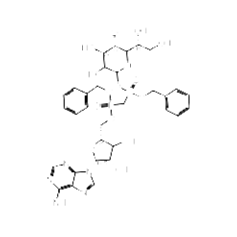 Nc1ncnc2c1ncn2[C@@H]1O[C@H](COP(=O)(CP(=O)(OCc2ccccc2)OC2OC([C@H](O)CO)[C@@H](O)[C@H](O)C2O)OCc2ccccc2)C(O)[C@@H]1O